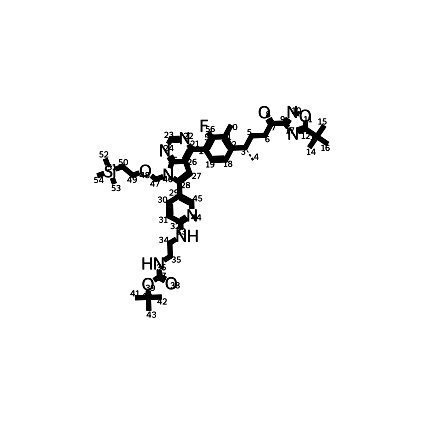 Cc1c([C@@H](C)CCC(=O)c2noc(C(C)(C)C)n2)ccc(-c2ncnc3c2cc(-c2ccc(NCCNC(=O)OC(C)(C)C)nc2)n3COCC[Si](C)(C)C)c1F